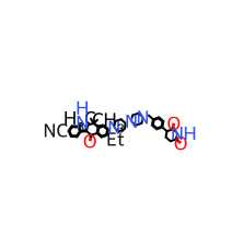 CCc1cc2c(cc1N1CCC(N3CCN(Cc4ccc(C5CCC(=O)NC5=O)cc4)CC3)CC1)C(C)(C)c1[nH]c3cc(C#N)ccc3c1C2=O